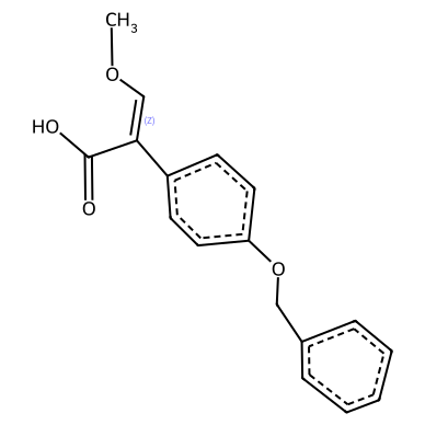 CO/C=C(\C(=O)O)c1ccc(OCc2ccccc2)cc1